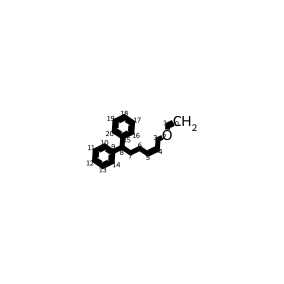 C=COC/C=C\CCC(c1ccccc1)c1ccccc1